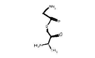 C[C@@H](N)C(=O)OC(=O)CN